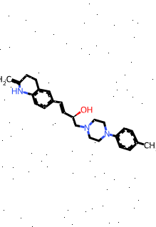 C=C1CCc2cc(/C=C/[C@@H](O)CN3CCN(c4ccc(C)cc4)CC3)ccc2N1